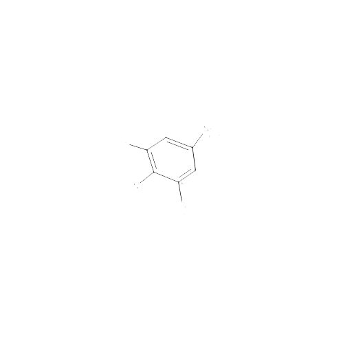 [C-]#[N+]c1c(Br)cc([N+](=O)[O-])cc1Br